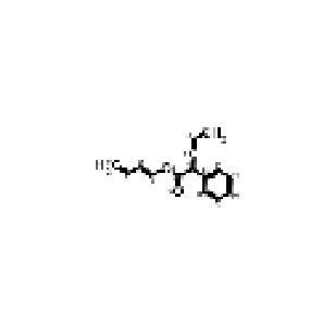 C=CC=COC(=O)C(=C=CC)c1ccccc1